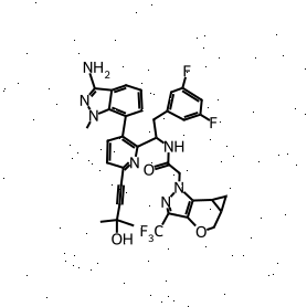 Cn1nc(N)c2cccc(-c3ccc(C#CC(C)(C)O)nc3C(Cc3cc(F)cc(F)c3)NC(=O)Cn3nc(C(F)(F)F)c4c3C3CC3CO4)c21